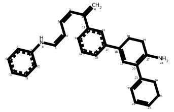 C=C(/C=C\C=C/Nc1ccccc1)c1cccc(C2=CC(C3=CC=CCC3)=C(N)CC2)c1